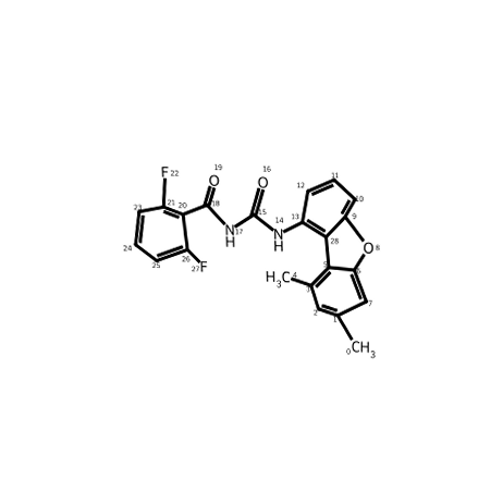 Cc1cc(C)c2c(c1)oc1cccc(NC(=O)NC(=O)c3c(F)cccc3F)c12